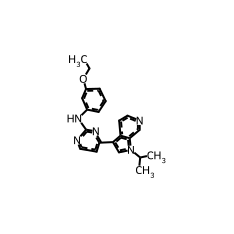 CCOc1cccc(Nc2nccc(-c3cn(C(C)C)c4cnccc34)n2)c1